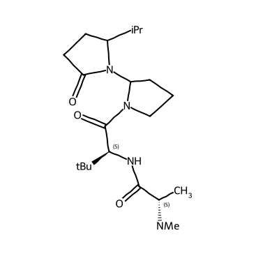 CN[C@@H](C)C(=O)N[C@H](C(=O)N1CCCC1N1C(=O)CCC1C(C)C)C(C)(C)C